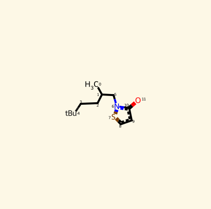 CC(CCC(C)(C)C)Cn1sccc1=O